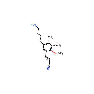 COc1c(/C=C/C#N)cc(CCCCN)c(C)c1C